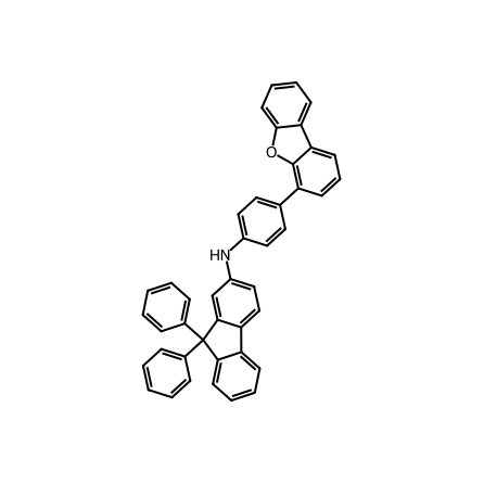 c1ccc(C2(c3ccccc3)c3ccccc3-c3ccc(Nc4ccc(-c5cccc6c5oc5ccccc56)cc4)cc32)cc1